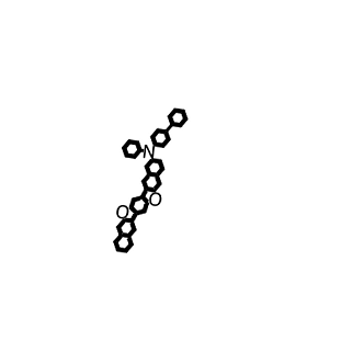 c1ccc(-c2ccc(N(c3ccccc3)c3ccc4cc5oc6cc7c(cc6c5cc4c3)oc3cc4ccccc4cc37)cc2)cc1